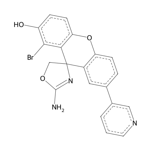 NC1=NC2(CO1)c1cc(-c3cccnc3)ccc1Oc1ccc(O)c(Br)c12